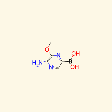 COc1nc(B(O)O)cnc1N